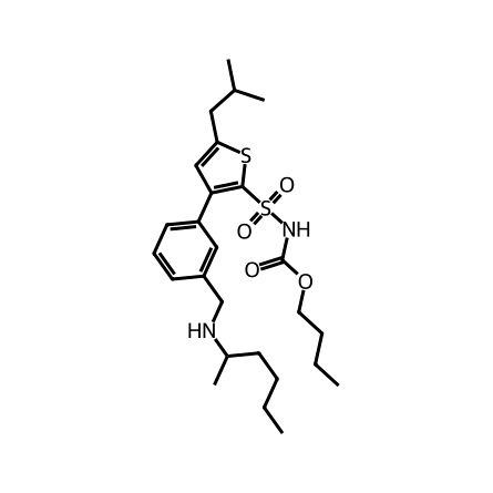 CCCCOC(=O)NS(=O)(=O)c1sc(CC(C)C)cc1-c1cccc(CNC(C)CCCC)c1